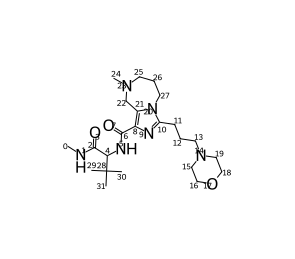 CNC(=O)C(NC(=O)c1nc(CCCN2CCOCC2)n2c1CN(C)CCC2)C(C)(C)C